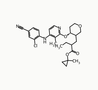 CCC(CC1COCC[C@@H]1Oc1nccc(Nc2ccc(C#N)cc2Cl)c1C)C(=O)OC1(C)CC1